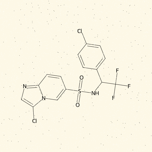 O=S(=O)(NC(c1ccc(Cl)cc1)C(F)(F)F)c1ccc2ncc(Cl)n2c1